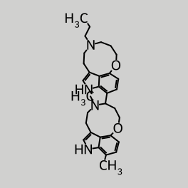 CCCN1CCCOc2ccc(C3CCOc4ccc(C)c5[nH]cc(c45)CCN3C)c3[nH]cc(c23)CC1